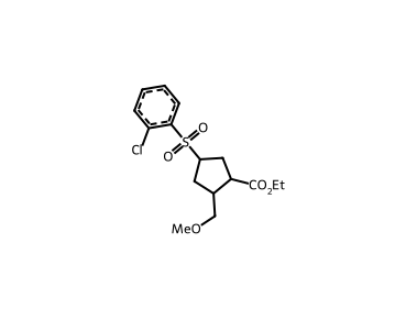 CCOC(=O)C1CC(S(=O)(=O)c2ccccc2Cl)CC1COC